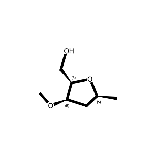 CO[C@@H]1C[C@H](C)O[C@@H]1CO